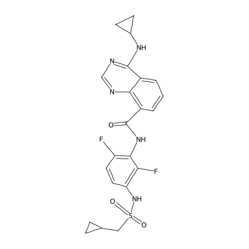 O=C(Nc1c(F)ccc(NS(=O)(=O)CC2CC2)c1F)c1cccc2c(NC3CC3)ncnc12